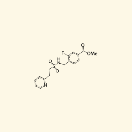 COC(=O)c1ccc(CNS(=O)(=O)CCc2ccccn2)c(F)c1